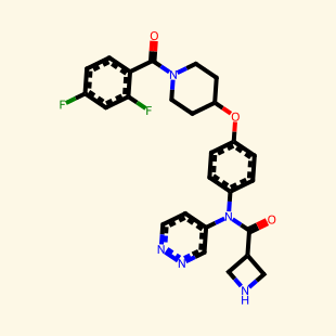 O=C(c1ccc(F)cc1F)N1CCC(Oc2ccc(N(C(=O)C3CNC3)c3ccnnc3)cc2)CC1